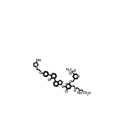 CS(=O)(=O)c1cncc(COc2nc(O[C@H]3CCc4c(-c5cccc(-c6ccc(OCCN7CC[C@@H](O)C7)cc6)c5Cl)cccc43)c(Cl)cc2CNC[C@@H](O)CC(=O)O)c1